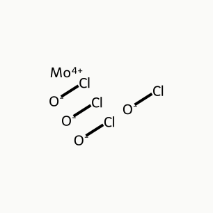 [Mo+4].[O-]Cl.[O-]Cl.[O-]Cl.[O-]Cl